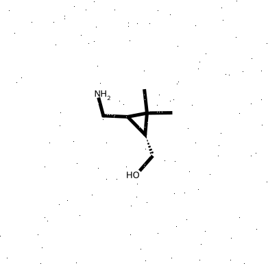 CC1(C)C(CN)[C@H]1CO